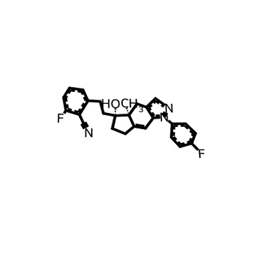 C[C@]12Cc3cnn(-c4ccc(F)cc4)c3C=C1CC[C@@]2(O)CCc1cccc(F)c1C#N